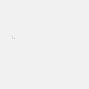 CC(C)n1cc(NC(=O)c2ccccc2)cn1